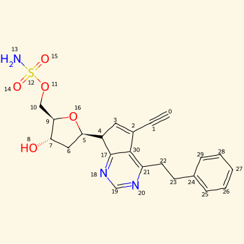 C#CC1=CC([C@H]2C[C@H](O)[C@@H](COS(N)(=O)=O)O2)c2ncnc(CCc3ccccc3)c21